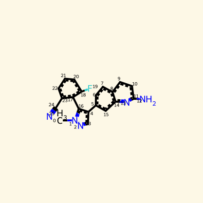 Cn1ncc(-c2ccc3ccc(N)nc3c2)c1-c1c(F)cccc1C#N